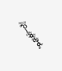 COc1ccc(-c2cnc3c(Nc4ccc(C(=O)NCCCN5CCNC(C(=O)O)C5)c(C)c4)nccn23)cc1F